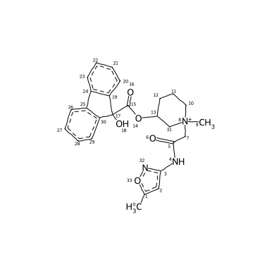 Cc1cc(NC(=O)C[N+]2(C)CCCC(OC(=O)C3(O)c4ccccc4-c4ccccc43)C2)no1